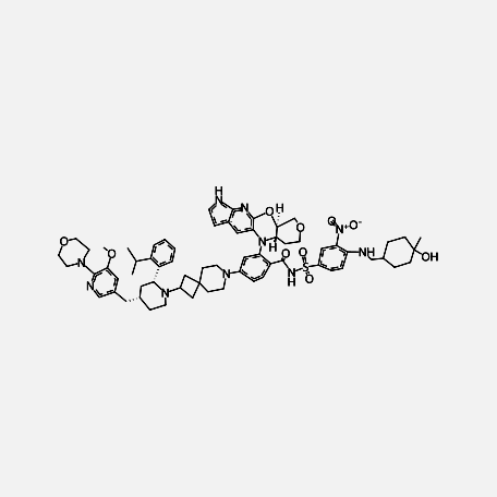 COc1cc(C[C@H]2CCN(C3CC4(CCN(c5ccc(C(=O)NS(=O)(=O)c6ccc(NCC7CCC(C)(O)CC7)c([N+](=O)[O-])c6)c(N6c7cc8cc[nH]c8nc7O[C@H]7COCC[C@@H]76)c5)CC4)C3)[C@@H](c3ccccc3C(C)C)C2)cnc1N1CCOCC1